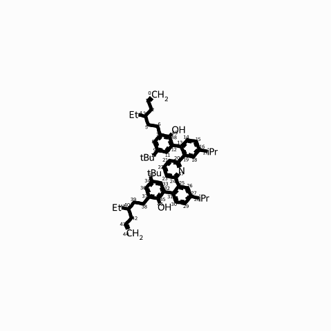 C=CCC(CC)CCc1cc(C(C)(C)C)cc(-c2ccc(C(C)C)cc2-c2cccc(-c3cc(C(C)C)ccc3-c3cc(C(C)(C)C)cc(CCC(CC)CC=C)c3O)n2)c1O